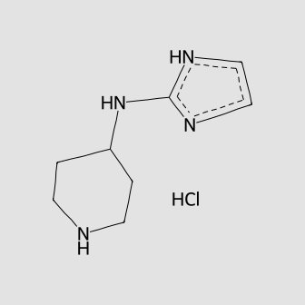 Cl.c1c[nH]c(NC2CCNCC2)n1